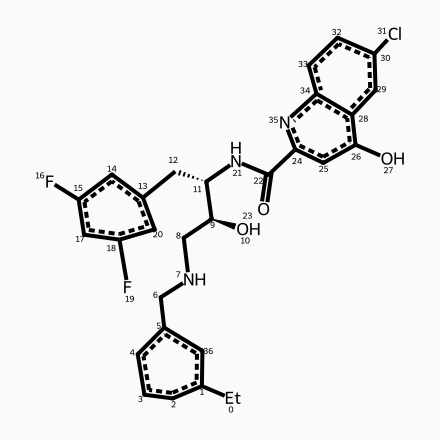 CCc1cccc(CNC[C@H](O)[C@H](Cc2cc(F)cc(F)c2)NC(=O)c2cc(O)c3cc(Cl)ccc3n2)c1